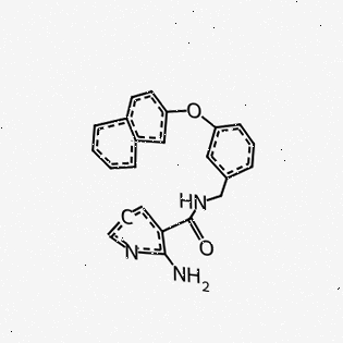 Nc1ncccc1C(=O)NCc1cccc(Oc2ccc3ccccc3c2)c1